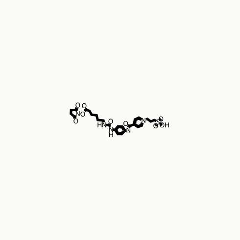 O=C(NCCCCCC(=O)ON1C(=O)CCC1=O)Nc1ccc2nc(-c3cc[n+](CCCS(=O)(=O)O)cc3)oc2c1